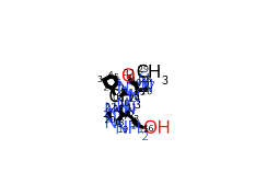 Cc1ccccc1-n1c(Cn2nc(C#CCO)c3c(N)ncnc32)nc2cnn(C)c2c1=O